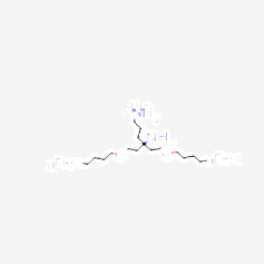 Br.CCCCCCCCCCCCCCOCCC(N)(CCCN)CCOCCCCCCCCCCCCCC